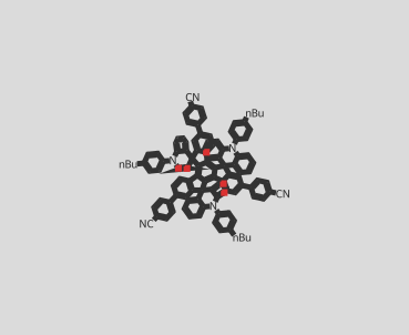 CCCCc1ccc(N2c3ccccc3C3(c4cc(-c5ccc(C#N)cc5)ccc4-c4c3c3c(c5c4C4(c6cc(-c7ccc(C#N)cc7)ccc6-5)c5ccccc5N(c5ccc(CCCC)cc5)c5ccccc54)C4(c5cc(-c6ccc(C#N)cc6)ccc5-3)c3ccccc3N(c3ccc(CCCC)cc3)c3ccccc34)c3ccccc32)cc1